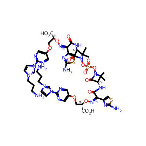 CC1(C)[C@H](NC(=O)/C(=N\O[C@@H](COc2cnc(-n3cc[n+](CCCN)c3)nc2)C(=O)O)c2csc(N)n2)C(=O)N1OS(=O)(=O)ON1C(=O)[C@@H](NC(=O)/C(=N\O[C@@H](COc2cnc(-n3cc[n+](CCCN)c3)nc2)C(=O)O)c2csc(N)n2)C1(C)C